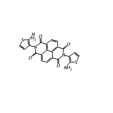 Nc1sccc1N1C(=O)c2ccc3c4c(ccc(c24)C1=O)C(=O)N(c1ccsc1N)C3=O